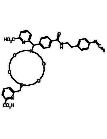 O=C(NCCc1ccc(N=C=S)cc1)c1ccc(C(c2cccc(C(=O)O)n2)N2CCOCCOCCN(Cc3cccc(C(=O)O)n3)CCOCCOCC2)cc1